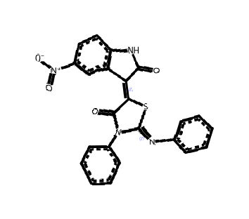 O=C1Nc2ccc([N+](=O)[O-])cc2/C1=C1/S/C(=N\c2ccccc2)N(c2ccccc2)C1=O